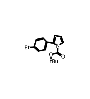 [CH2]Cc1ccc(-c2cccn2C(=O)OC(C)(C)C)cc1